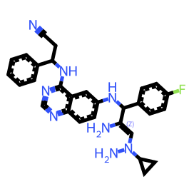 N#CCC(Nc1ncnc2ccc(NC(/C(N)=C/N(N)C3CC3)c3ccc(F)cc3)cc12)c1ccccc1